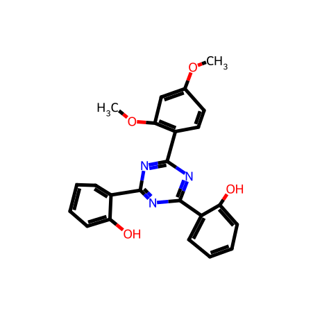 COc1ccc(-c2nc(-c3ccccc3O)nc(-c3ccccc3O)n2)c(OC)c1